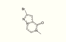 Cn1ccn2nc(Br)cc2c1=O